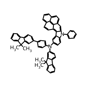 CC1(C)c2ccccc2-c2ccc(-c3ccc(N(c4ccc5c(c4)C(C)(C)c4ccccc4-5)c4ccc5c(c4)c4c6ccc7cccc8ccc(cc4n5-c4ccccc4)c6c87)cc3)cc21